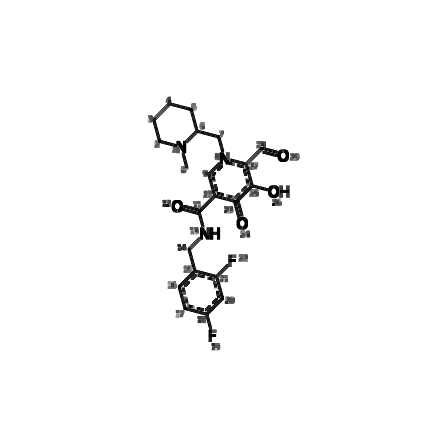 CN1CCCCC1Cn1cc(C(=O)NCc2ccc(F)cc2F)c(=O)c(O)c1C=O